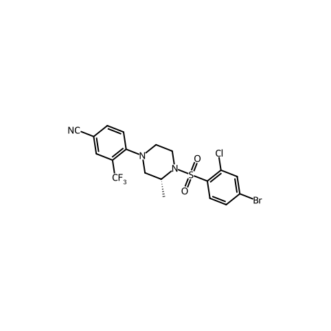 C[C@@H]1CN(c2ccc(C#N)cc2C(F)(F)F)CCN1S(=O)(=O)c1ccc(Br)cc1Cl